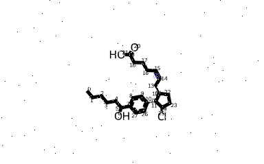 CCCCCC(O)c1ccc([C@@H]2[C@@H](C/C=C\CCCC(=O)O)CC[C@H]2Cl)cc1